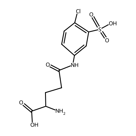 NC(CCC(=O)Nc1ccc(Cl)c(S(=O)(=O)O)c1)C(=O)O